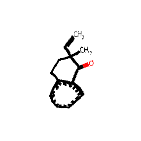 C=CC1(C)CCc2ccccc2C1=O